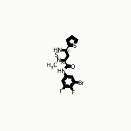 CN1SN[C@@H](c2cccs2)C[C@H]1C(=O)Nc1cc(F)c(F)c(Br)c1